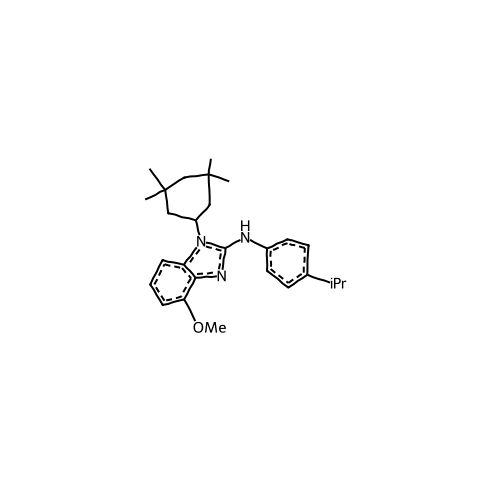 COc1cccc2c1nc(Nc1ccc(C(C)C)cc1)n2C1CC(C)(C)CC(C)(C)C1